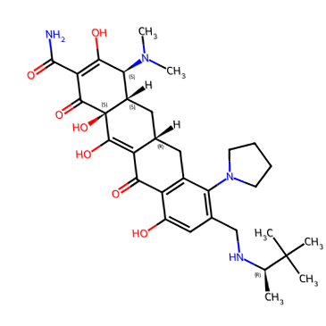 C[C@@H](NCc1cc(O)c2c(c1N1CCCC1)C[C@H]1C[C@H]3[C@H](N(C)C)C(O)=C(C(N)=O)C(=O)[C@@]3(O)C(O)=C1C2=O)C(C)(C)C